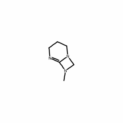 CN1CN2CCCN=C12